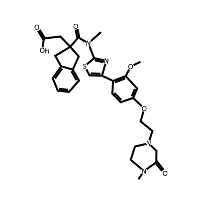 COc1cc(OCCN2CCN(C)C(=O)C2)ccc1-c1csc(N(C)C(=O)C2(CC(=O)O)Cc3ccccc3C2)n1